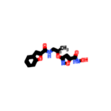 C[C@H](CNC(=O)c1cc2ccccc2o1)Oc1cc(C(=O)NO)on1